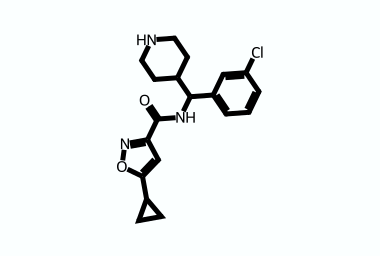 O=C(NC(c1cccc(Cl)c1)C1CCNCC1)c1cc(C2CC2)on1